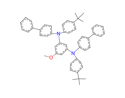 COc1cc(N(c2ccc(-c3ccccc3)cc2)c2ccc(C(C)(C)C)cc2)cc(N(c2ccc(-c3ccccc3)cc2)c2ccc(C(C)(C)C)cc2)c1